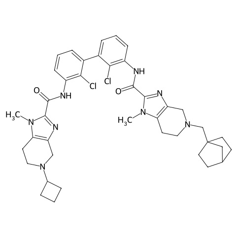 Cn1c(C(=O)Nc2cccc(-c3cccc(NC(=O)c4nc5c(n4C)CCN(C4CCC4)C5)c3Cl)c2Cl)nc2c1CCN(CC13CCC(CC1)C3)C2